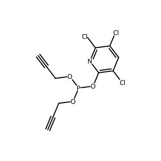 C#CCOP(OCC#C)Oc1nc(Cl)c(Cl)cc1Cl